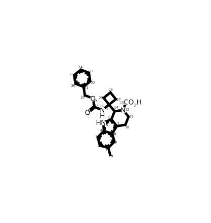 Cc1ccc2[nH]c3c(c2c1)CCN(C(=O)O)C3C1(NC(=O)OCc2ccccc2)CCC1